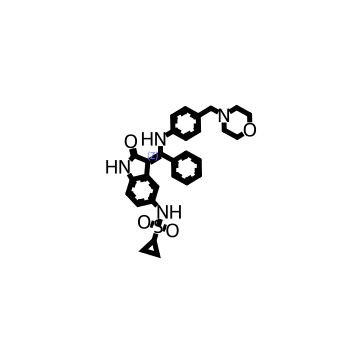 O=C1Nc2ccc(NS(=O)(=O)C3CC3)cc2/C1=C(/Nc1ccc(CN2CCOCC2)cc1)c1ccccc1